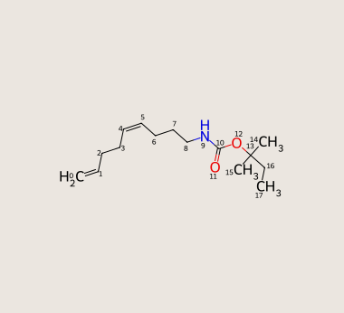 C=CCC/C=C\CCCNC(=O)OC(C)(C)CC